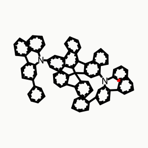 c1ccc(-c2ccc(-c3ccccc3)c(N(c3ccccc3)c3ccc4c5c(c6ccccc6c4c3)-c3c(cc(N(c4ccccc4)c4cc(-c6ccccc6)ccc4-c4ccccc4)c4ccccc34)C53c4ccccc4-c4ccccc43)c2)cc1